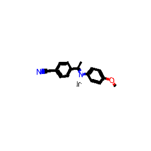 COc1ccc(/N=C(\C)c2ccc(C#N)cc2)cc1.[Ir]